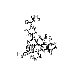 C=CC(=O)N1CCN(c2nc(=O)n(-c3c(C(C)C)ncnc3C(C)C)c3nc(-c4ccccc4F)c(F)cc23)CC1